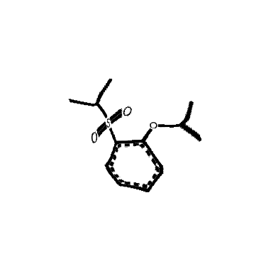 CC(C)Oc1ccccc1S(=O)(=O)C(C)C